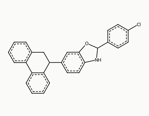 Clc1ccc(C2Nc3ccc(C4Cc5ccccc5-c5ccccc54)cc3O2)cc1